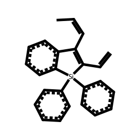 C=CC1=C(/C=C\C)c2ccccc2[Si]1(c1ccccc1)c1ccccc1